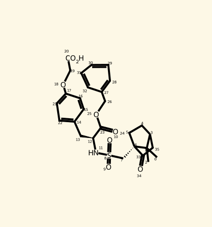 CC1(C)C2CC[C@]1(CS(=O)(=O)N[C@@H](Cc1ccc(OCC(=O)O)cc1)C(=O)OCc1ccccc1)C(=O)C2